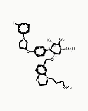 COCCCN1CCOc2ccc(CO[C@H]3CN(C(=O)O)C(C(C)(C)C)[C@@H](O)[C@@H]3c3ccc(OC4CCN(c5cccc(F)c5)C4)cc3)cc21